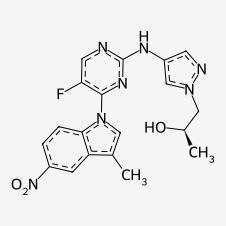 Cc1cn(-c2nc(Nc3cnn(C[C@@H](C)O)c3)ncc2F)c2ccc([N+](=O)[O-])cc12